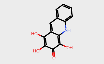 O=c1c(O)c2[nH]c3ccccc3cc-2c(O)c1O